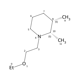 CCOCCN1CCC[C@H](C)[C@@H]1C